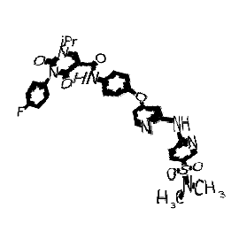 CC(C)n1cc(C(=O)Nc2ccc(Oc3ccnc(Nc4ccc(S(=O)(=O)N(C)C)cn4)c3)cc2)c(=O)n(-c2ccc(F)cc2)c1=O